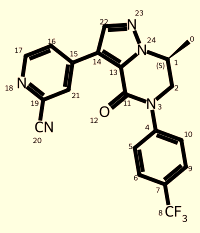 C[C@H]1CN(c2ccc(C(F)(F)F)cc2)C(=O)c2c(-c3ccnc(C#N)c3)cnn21